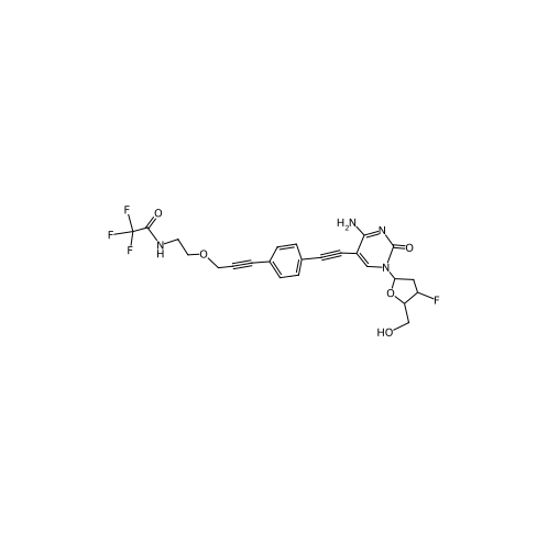 Nc1nc(=O)n(C2CC(F)C(CO)O2)cc1C#Cc1ccc(C#CCOCCNC(=O)C(F)(F)F)cc1